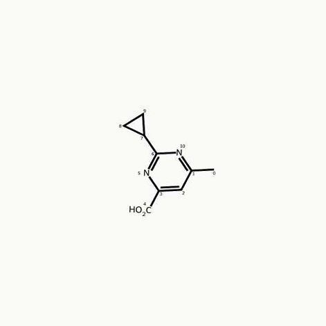 Cc1cc(C(=O)O)nc(C2CC2)n1